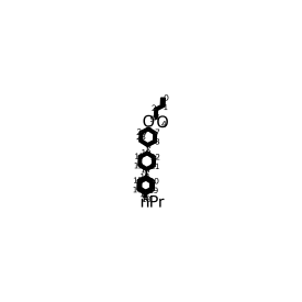 C=CCC(=O)OC1CCC([C@H]2CC[C@H](c3ccc(CCC)cc3)CC2)CC1